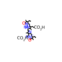 C=CC1=C(C)C(=O)N/C1=C\C1=NC(=Cc2[nH]c(/C=C3\NC(=O)C(C)=C3C=C)c(CCC(=O)O)c2C)C(C)=C1CCC(=O)O